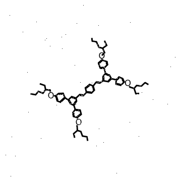 CCCCC(CC)COc1ccc(-c2cc(C=Cc3ccc(C=Cc4cc(-c5ccc(OCC(CC)CCCC)cc5)cc(-c5ccc(OCC(CC)CCCC)cc5)c4)cc3)cc(-c3ccc(OCC(CC)CCCC)cc3)c2)cc1